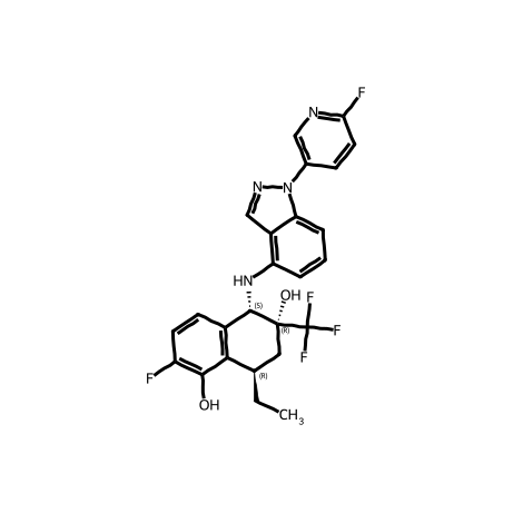 CC[C@@H]1C[C@](O)(C(F)(F)F)[C@@H](Nc2cccc3c2cnn3-c2ccc(F)nc2)c2ccc(F)c(O)c21